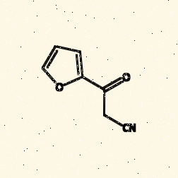 N#CCC(=O)c1ccco1